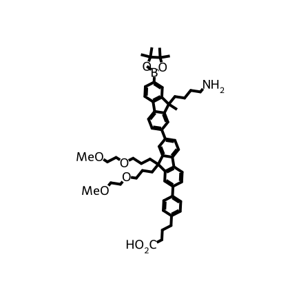 COCCOCCCC1(CCCOCCOC)c2cc(-c3ccc(CCCC(=O)O)cc3)ccc2-c2ccc(-c3ccc4c(c3)C(C)(CCCCN)c3cc(B5OC(C)(C)C(C)(C)O5)ccc3-4)cc21